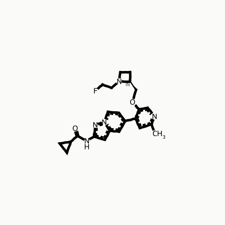 Cc1cc(-c2ccn3nc(NC(=O)C4CC4)cc3c2)c(OC[C@@H]2CCN2CCF)cn1